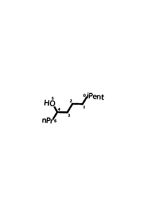 CCCC(C)CCCC(O)CCC